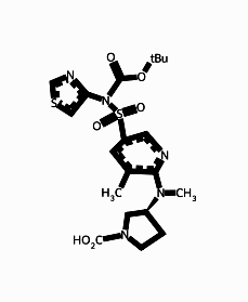 Cc1cc(S(=O)(=O)N(C(=O)OC(C)(C)C)c2cscn2)cnc1N(C)[C@H]1CCN(C(=O)O)C1